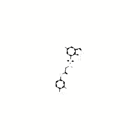 COc1ccc(NC(=O)CN(C)S(=O)(=O)c2cc(C)cc3cn[nH]c23)cc1Cl